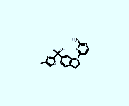 Cc1csc(C(C)(O)c2ccc3c(c2)N(c2ccnc(N)n2)CC3)n1